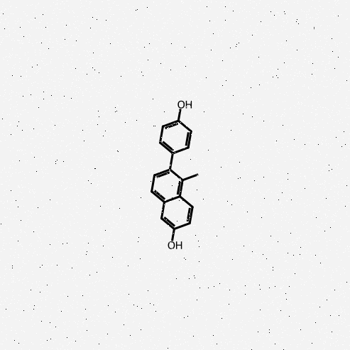 Cc1c(-c2ccc(O)cc2)ccc2cc(O)ccc12